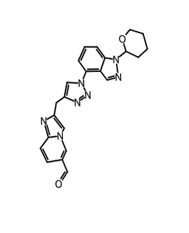 O=Cc1ccc2nc(Cc3cn(-c4cccc5c4cnn5C4CCCCO4)nn3)cn2c1